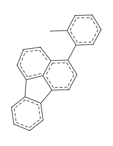 Cc1ccccc1-c1ccc2c3c(cccc13)-c1ccccc1-2